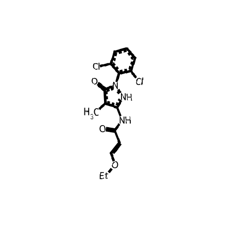 CCO/C=C/C(=O)Nc1[nH]n(-c2c(Cl)cccc2Cl)c(=O)c1C